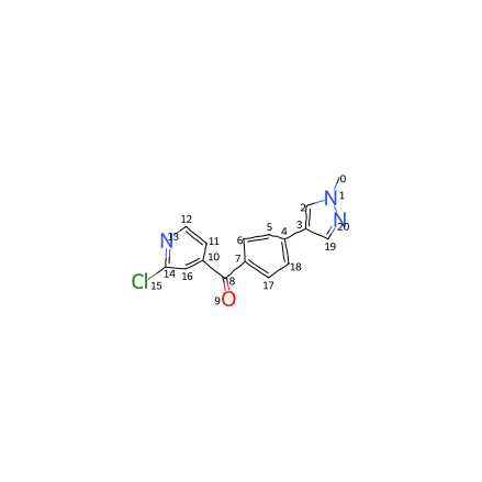 Cn1cc(-c2ccc(C(=O)c3ccnc(Cl)c3)cc2)cn1